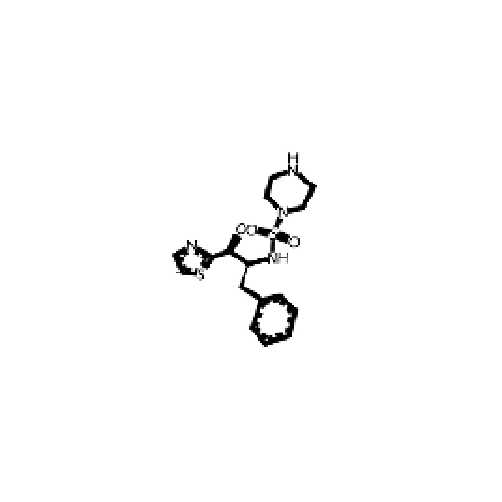 O=C(c1nc[c]s1)[C@H](Cc1ccccc1)NS(=O)(=O)N1CCNCC1